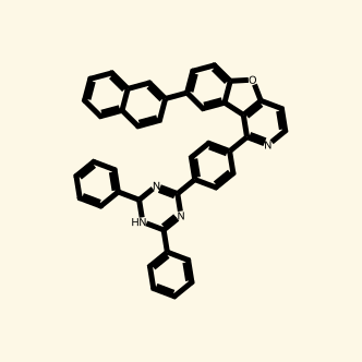 c1ccc(C2=NC(c3ccc(-c4nccc5oc6ccc(-c7ccc8ccccc8c7)cc6c45)cc3)=NC(c3ccccc3)N2)cc1